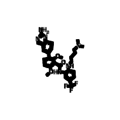 COc1ccc(-c2ccc3nc(N)ncc3c2)c(OC)c1C(=O)Nc1cc(C(F)(F)F)ccc1NCCCCN(C)C